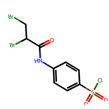 O=C(Nc1ccc(S(=O)(=O)Cl)cc1)C(Br)CBr